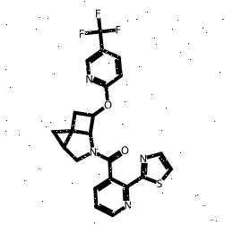 O=C(c1cccnc1-c1nccs1)N1CC2CC23CC(Oc2ccc(C(F)(F)F)cn2)C13